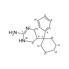 NC1=NCC(C2(c3cc[c]cc3)CCCCC2)CN1